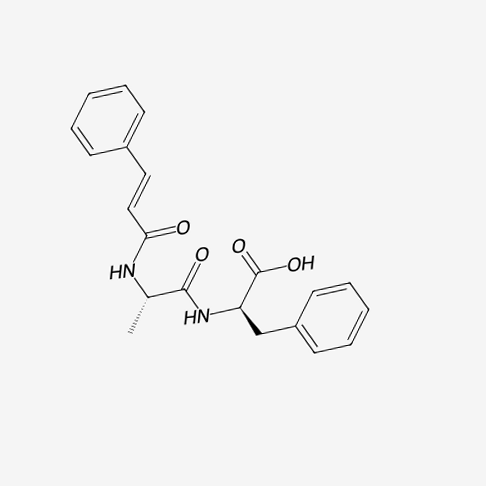 C[C@H](NC(=O)/C=C/c1ccccc1)C(=O)N[C@H](Cc1ccccc1)C(=O)O